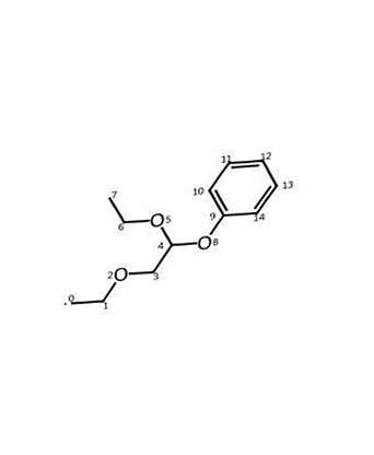 [CH2]COCC(OCC)Oc1ccccc1